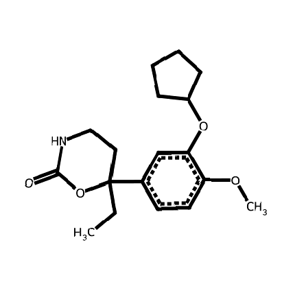 CCC1(c2ccc(OC)c(OC3CCCC3)c2)CCNC(=O)O1